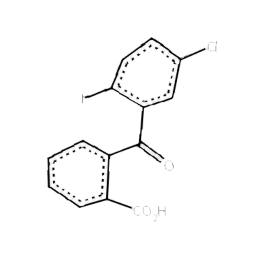 O=C(O)c1ccccc1C(=O)c1cc(Cl)ccc1I